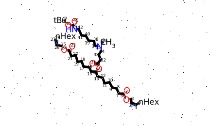 CCCCCC/C=C\COC(=O)CCCCCCCC(CCCCCCCC(=O)OC/C=C\CCCCCC)OC(=O)CCCN(C)CCCCCCNC(=O)OC(C)(C)C